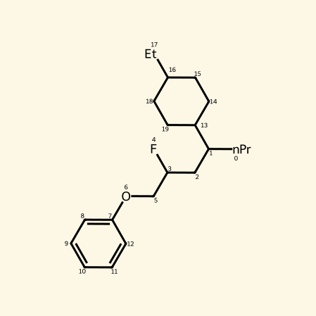 CCCC(CC(F)COc1ccccc1)C1CCC(CC)CC1